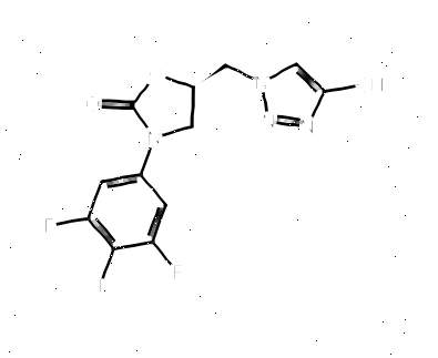 Cc1cn(C[C@H]2CN(c3cc(F)c(I)c(F)c3)C(=O)O2)nn1